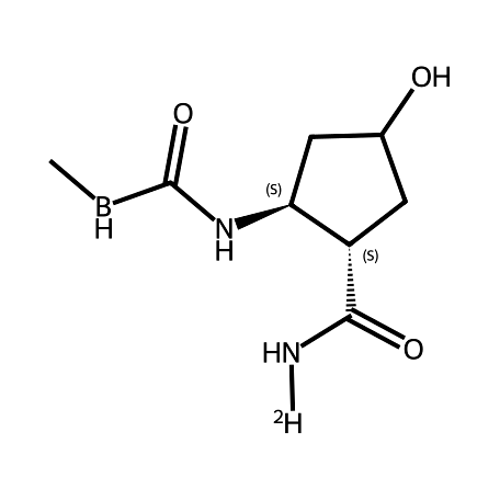 [2H]NC(=O)[C@H]1CC(O)C[C@@H]1NC(=O)BC